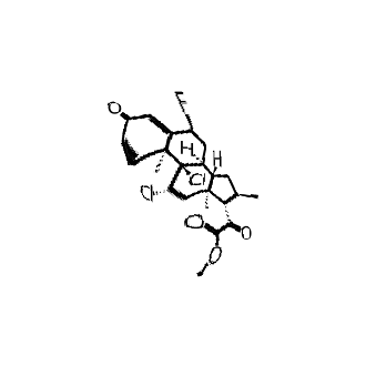 COC(=O)C(=O)[C@H]1[C@H](C)C[C@H]2[C@@H]3C[C@H](F)C4=CC(=O)C=C[C@]4(C)[C@@]3(Cl)[C@@H](Cl)C[C@@]21C